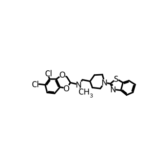 CN(CC1CCN(c2nc3ccccc3s2)CC1)C1COc2c(ccc(Cl)c2Cl)O1